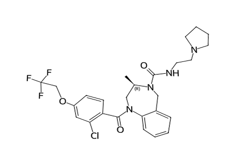 C[C@@H]1CN(C(=O)c2ccc(OCC(F)(F)F)cc2Cl)c2ccccc2CN1C(=O)NCCN1CCCC1